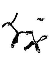 CN(C)C(=S)SS(=O)(=O)[O-].[Na+]